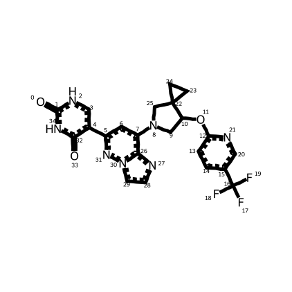 O=c1[nH]cc(-c2cc(N3CC(Oc4ccc(C(F)(F)F)cn4)C4(CC4)C3)c3nccn3n2)c(=O)[nH]1